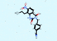 CCCc1c([N+](=O)[O-])ccc2c(=O)n(Cc3ccc(C#N)cc3)c(=O)[nH]c12